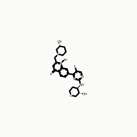 CC(C)n1c(CN2CCC[C@@H](C#N)C2)cc(=O)c2ccc(-c3nc(N[C@@H]4CCOC[C@H]4O)ncc3F)cc21